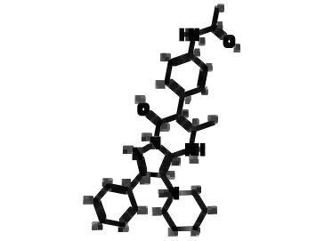 CC(=O)Nc1ccc(-c2c(C)[nH]c3c(N4CCCCC4)c(-c4ccccc4)nn3c2=O)cc1